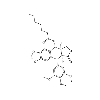 CCCCCCC(=O)O[C@H]1c2cc3c(cc2[C@@H](c2cc(OC)c(OC)c(OC)c2)[C@@H]2C(=O)OC[C@@H]21)OCO3